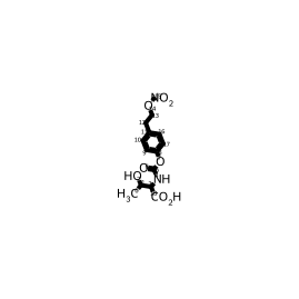 CC(O)C(NC(=O)Oc1ccc(CCO[N+](=O)[O-])cc1)C(=O)O